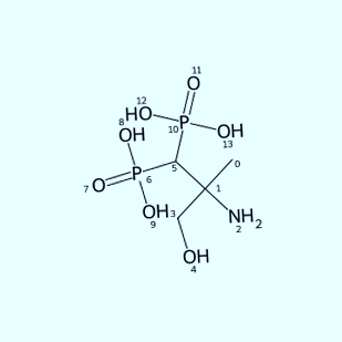 CC(N)(CO)C(P(=O)(O)O)P(=O)(O)O